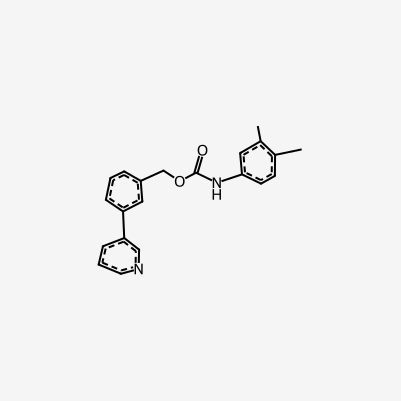 Cc1ccc(NC(=O)OCc2cccc(-c3cccnc3)c2)cc1C